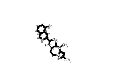 Cc1cc2n(n1)CC[C@H](NC(=O)c1cc3c(Br)cccc3cn1)C(=O)N2C